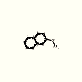 FC(F)(F)Oc1[c]cc2ccccc2c1